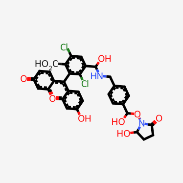 O=C(O)c1c(Cl)cc(C(O)NCc2ccc(C(O)ON3C(=O)CCC3O)cc2)c(Cl)c1-c1c2ccc(=O)cc-2oc2cc(O)ccc12